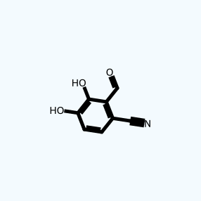 N#Cc1ccc(O)c(O)c1C=O